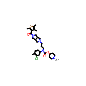 CC(=O)N1CCC(OC(=O)N(CCCN2CC3CN(C(=O)c4c(C)sc(C)c4C)CC3C2)c2ccc(C)c(Cl)c2)CC1